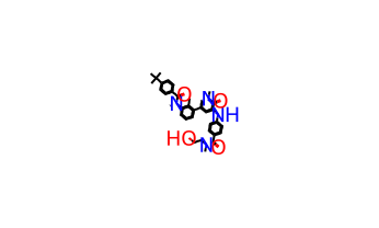 Cc1c(-c2cc(Nc3ccc(C(=O)N(C)CCO)cc3)c(=O)n(C)c2)cccc1N(C)C(=O)c1ccc(C(C)(C)C)cc1